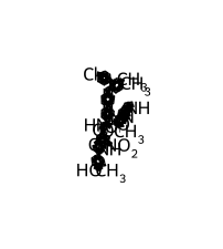 C[C@@H]1CN(c2cc(N3CCN(CC4=C(c5ccc(Cl)cc5)CC(C)(C)CC4)CC3)ccc2C(=O)NS(=O)(=O)c2cc3c(c([N+](=O)[O-])c2)N[C@H](C2CCC(C)(O)CC2)CO3)c2cc3cc[nH]c3nc2O1